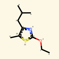 CCOc1nc(CC(C)C)c(C)s1